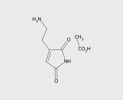 CC(=O)O.NCCC1=CC(=O)NC1=O